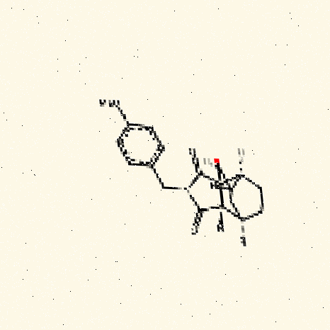 COc1ccc(CN2C(=O)[C@H]3[C@@H]4CC[C@H]([C@H]3C2=O)C(N)(C#N)C4)cc1